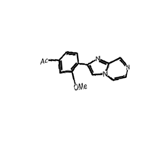 COc1cc(C(C)=O)ccc1-c1cn2ccncc2n1